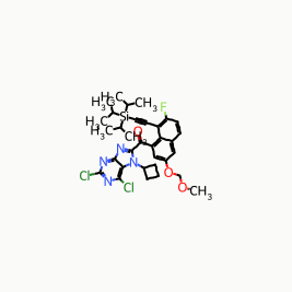 COCOc1cc(C(=O)c2nc3nc(Cl)nc(Cl)c3n2C2CCC2)c2c(C#C[Si](C(C)C)(C(C)C)C(C)C)c(F)ccc2c1